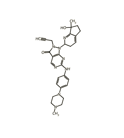 C#CCn1c(=O)c2cnc(Nc3ccc(N4CCN(C)CC4)cc3)nc2n1C1CC=C2CCC(C)(O)C2=N1